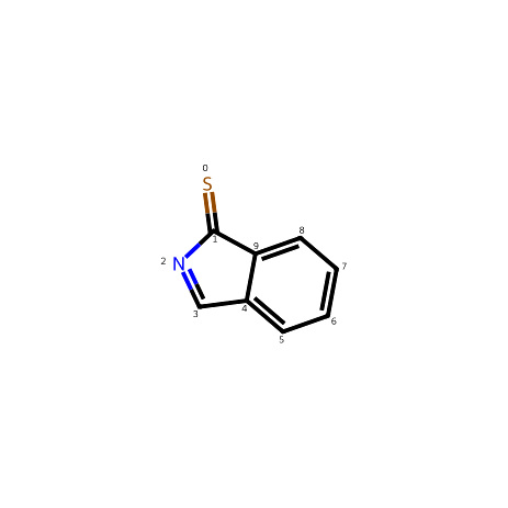 S=C1N=Cc2ccccc21